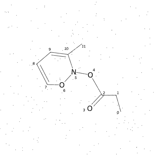 CCC(=O)ON1OC=CC=C1C